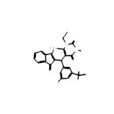 CCn1c2c(c(=O)n(C)c1=O)C(c1cc(C)cc(C(F)(F)F)c1)C1=C(N2)c2ccccc2C1=O